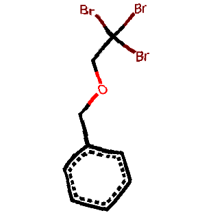 BrC(Br)(Br)COCc1ccccc1